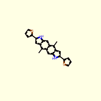 Cc1c2cc(-c3cccs3)[nH]c2cc2c(C)c3cc(-c4cccs4)[nH]c3cc12